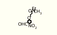 CCN(C)C(=O)CCCOc1ccc([N+](=O)[O-])c(C=O)c1